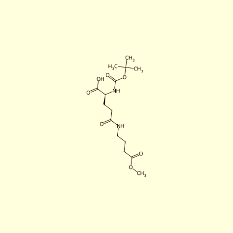 COC(=O)CCCNC(=O)CC[C@H](NC(=O)OC(C)(C)C)C(=O)O